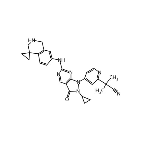 CC(C)(C#N)c1cc(-n2c3nc(Nc4ccc5c(c4)CNCC54CC4)ncc3c(=O)n2C2CC2)ccn1